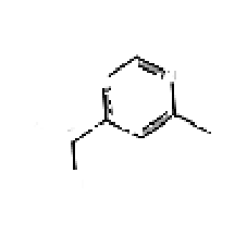 Cc1cc([C@@H](C)O)ncn1